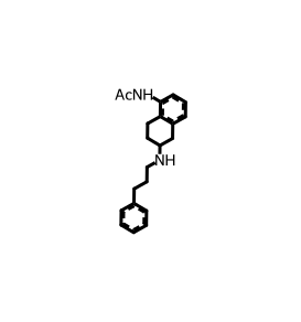 CC(=O)Nc1cccc2c1CCC(NCCCc1ccccc1)C2